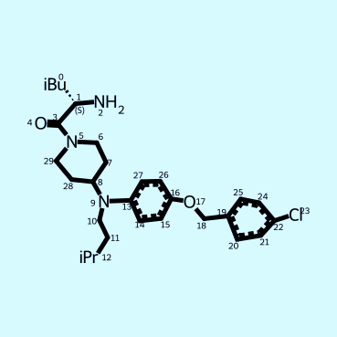 CCC(C)[C@H](N)C(=O)N1CCC(N(CCC(C)C)c2ccc(OCc3ccc(Cl)cc3)cc2)CC1